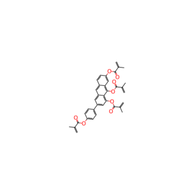 C=C(C)C(=O)Oc1ccc(-c2cc(OC(=O)C(=C)C)c3c(OC(=O)C(=C)C)c4cc(OC(=O)C(=C)C)ccc4cc3c2)cc1